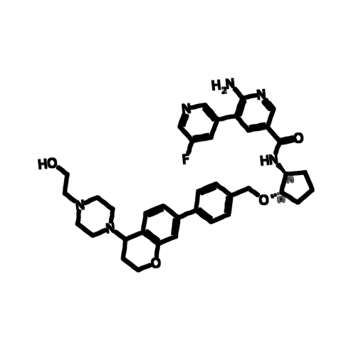 Nc1ncc(C(=O)N[C@H]2CCC[C@@H]2OCc2ccc(-c3ccc4c(c3)OCCC4N3CCN(CCO)CC3)cc2)cc1-c1cncc(F)c1